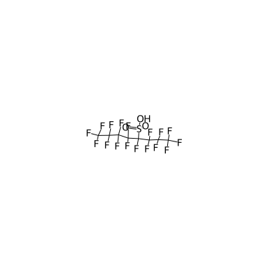 O=S(=O)(O)C(F)(C(F)(F)C(F)(F)C(F)(F)F)C(F)(F)C(F)(F)C(F)(F)C(F)(F)F